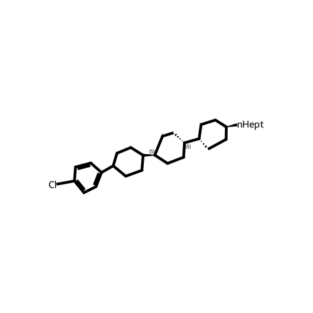 CCCCCCC[C@H]1CC[C@H]([C@H]2C[CH][C@H](C3CCC(c4ccc(Cl)cc4)CC3)CC2)CC1